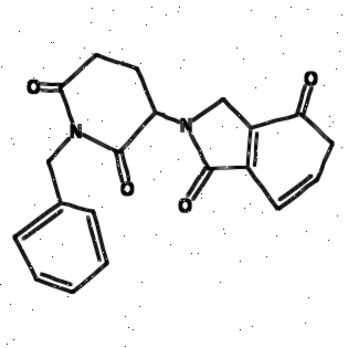 O=C1CC=CC2=C1CN(C1CCC(=O)N(Cc3ccccc3)C1=O)C2=O